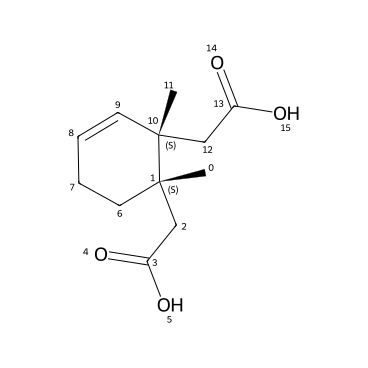 C[C@@]1(CC(=O)O)CCC=C[C@]1(C)CC(=O)O